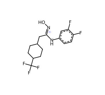 O/N=C(\CC1CCC(C(F)(F)F)CC1)Nc1ccc(F)c(F)c1